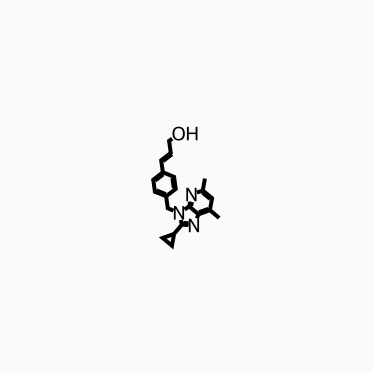 Cc1cc(C)c2nc(C3CC3)n(Cc3ccc(C=CCO)cc3)c2n1